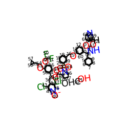 O=C(N[C@@H](c1ccccc1)c1cccc(OCc2cccc(S(=O)(=O)N3CCC[C@H]3C(=O)O[C@@H](Cc3c(Cl)c[n+]([O-])cc3Cl)c3ccc(OC(F)F)c(OCC4CC4)c3)c2)c1)O[C@H]1CN2CCC1CC2.O=CO